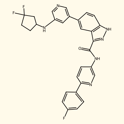 O=C(Nc1ccc(-c2ccc(F)cc2)nc1)c1n[nH]c2ccc(-c3cncc(NC4CCC(F)(F)C4)c3)cc12